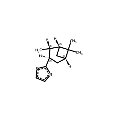 C[C@@H]1[C@H]2C[C@@H](C[C@H]1c1nccs1)C2(C)C